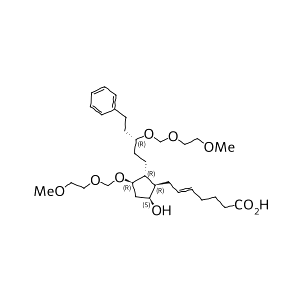 COCCOCO[C@@H](CCc1ccccc1)CC[C@@H]1[C@@H](CC=CCCCC(=O)O)[C@@H](O)C[C@H]1OCOCCOC